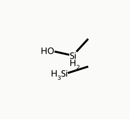 C[SiH2]O.C[SiH3]